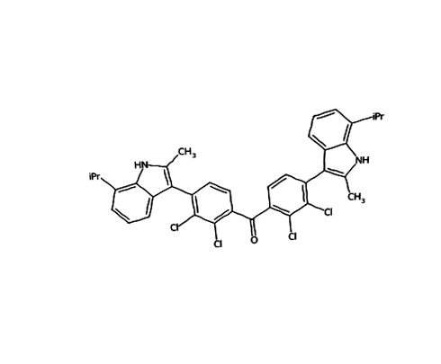 Cc1[nH]c2c(C(C)C)cccc2c1-c1ccc(C(=O)c2ccc(-c3c(C)[nH]c4c(C(C)C)cccc34)c(Cl)c2Cl)c(Cl)c1Cl